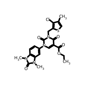 CCOC(=O)c1cn(-c2ccc3c(c2)n(C)c(=O)n3C)c(=O)n(Cc2scc(C)c2Cl)c1=O